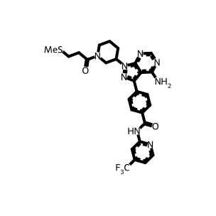 CSCCC(=O)N1CCCC(n2nc(-c3ccc(C(=O)Nc4cc(C(F)(F)F)ccn4)cc3)c3c(N)ncnc32)C1